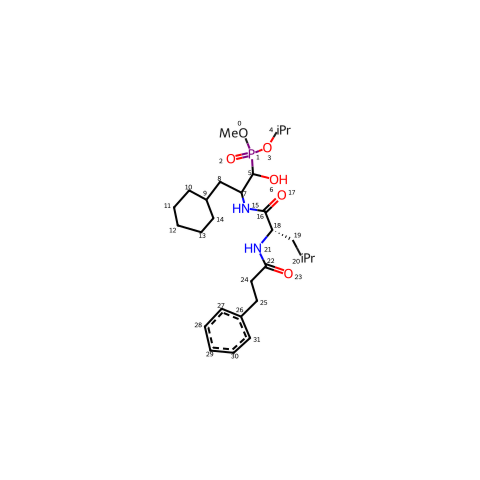 COP(=O)(OC(C)C)C(O)C(CC1CCCCC1)NC(=O)[C@H](CC(C)C)NC(=O)CCc1ccccc1